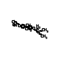 CCCN(CCC)C[C@@H](N)COc1ccc(C(C)(C)c2ccc(OCC(CCl)N=O)cc2)cc1